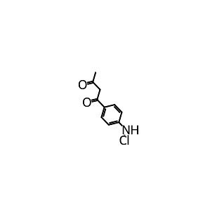 CC(=O)CC(=O)c1ccc(NCl)cc1